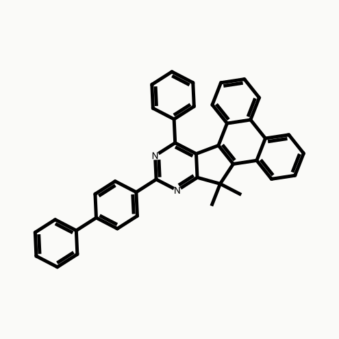 CC1(C)c2nc(-c3ccc(-c4ccccc4)cc3)nc(-c3ccccc3)c2-c2c1c1ccccc1c1ccccc21